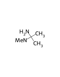 CNC(C)(C)N